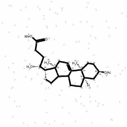 COC(=O)CC[C@@H](C)[C@H]1CCC2C3CC[C@@H]4C[C@H](OC(C)=O)CC[C@]4(C)C3=CC[C@@]21C